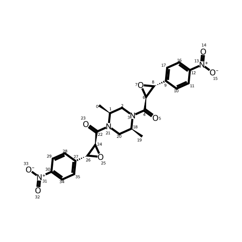 C[C@H]1CN(C(=O)[C@H]2O[C@@H]2c2ccc([N+](=O)[O-])cc2)[C@@H](C)CN1C(=O)[C@H]1O[C@@H]1c1ccc([N+](=O)[O-])cc1